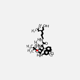 C[C@@H](O)CC(CCO)CCCNC(=O)[C@@H]1N[C@H](CC(C)(C)C)[C@]2(C(=O)Nc3cc(Cl)c(F)cc32)[C@H]1c1cccc(Cl)c1F